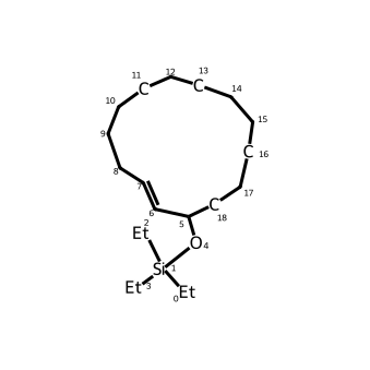 CC[Si](CC)(CC)OC1/C=C/CCCCCCCCCCC1